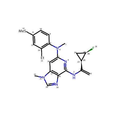 C=C(Nc1nc(N(C)c2ccc(SC)cc2CC)cc2c1ncn2C)[C@H]1C[C@H]1F